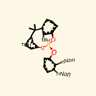 CCCCCCCCCc1cccc(OP2Oc3cccc(c3C(C)(C)C)C(C)(C)c3cccc(c3C(C)(C)C)O2)c1CCCCCCCCC